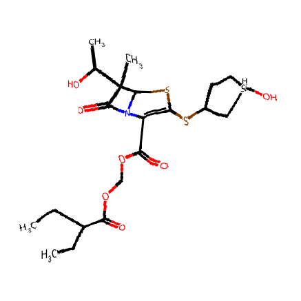 CCC(CC)C(=O)OCOC(=O)C1=C(SC2CC[SiH](O)C2)SC2N1C(=O)C2(C)C(C)O